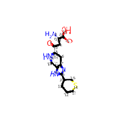 N[C@@H](CC(=O)[C@@H]1Cc2nc(C3CCCSC3)[nH]c2CN1)C(=O)O